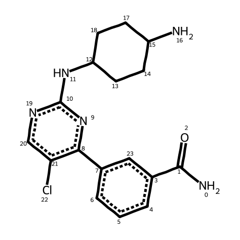 NC(=O)c1cccc(-c2nc(NC3CCC(N)CC3)ncc2Cl)c1